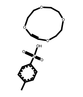 C1=COCCOCCOCCO1.Cc1ccc(S(=O)(=O)O)cc1